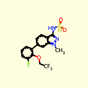 Cn1nc(N[SH](=O)=O)c2ccc(-c3cccc(F)c3OCC(F)(F)F)cc21